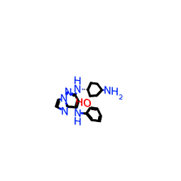 N[C@H]1CC[C@H](Nc2cc(Nc3ccccc3O)c3nccn3n2)CC1